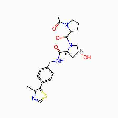 CC(=O)N1CCCC1C(=O)N1C[C@H](O)C[C@H]1C(=O)NCc1ccc(-c2scnc2C)cc1